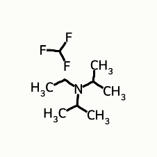 CCN(C(C)C)C(C)C.FC(F)F